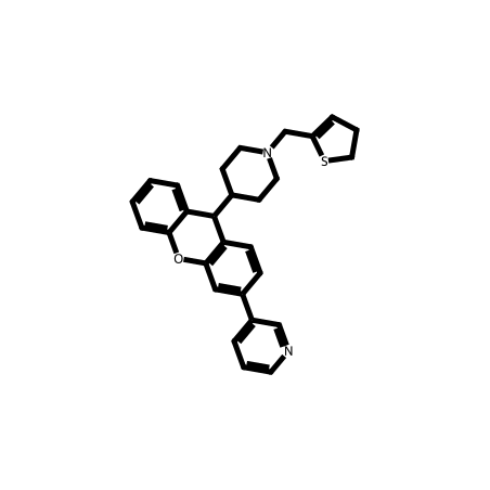 C1=C(CN2CCC(C3c4ccccc4Oc4cc(-c5cccnc5)ccc43)CC2)SCC1